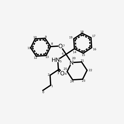 CCCC(=O)NC(Oc1ccccc1)(c1ccccc1)N1CCCCC1